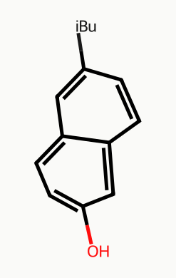 CCC(C)c1ccc2cc(O)ccc2c1